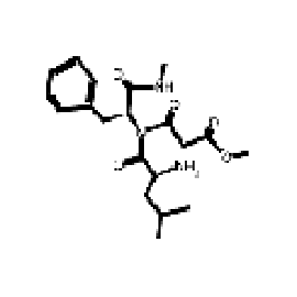 CNC(=O)[C@H](Cc1ccccc1)N(C(=O)CC(=O)OC)C(=O)[C@@H](N)CC(C)C